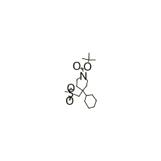 CC(C)(C)OC(=O)N1CCC(CS(C)(=O)=O)(C2CCCCC2)CC1